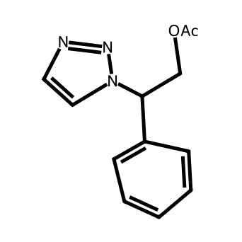 CC(=O)OCC(c1ccccc1)n1ccnn1